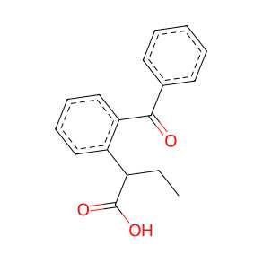 CCC(C(=O)O)c1ccccc1C(=O)c1ccccc1